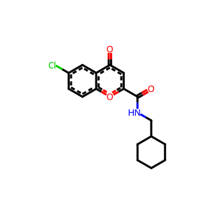 O=C(NCC1CCCCC1)c1cc(=O)c2cc(Cl)ccc2o1